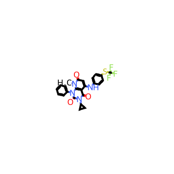 Cn1c(=O)cc(Nc2ccc(SC(F)(F)F)cc2)c2c(=O)n(C3CC3)c(=O)n(-c3ccccc3)c21